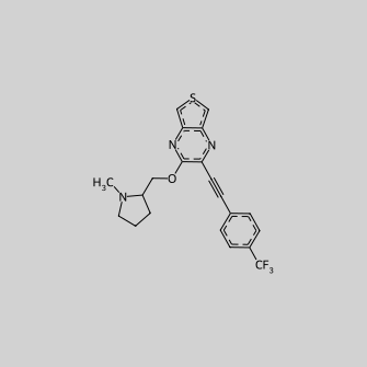 CN1CCCC1COc1nc2cscc2nc1C#Cc1ccc(C(F)(F)F)cc1